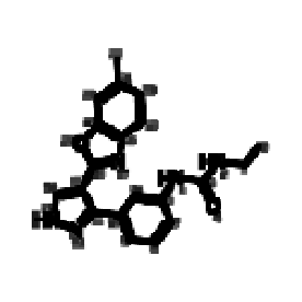 CCNC(=O)Nc1cccc(-c2n[nH]cc2-c2nc3ccc(C)cc3o2)c1